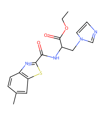 CCOC(=O)C(Cn1ccnc1)NC(=O)c1nc2ccc(C)cc2s1